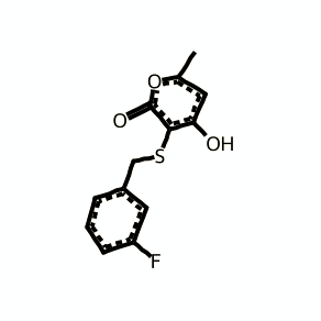 Cc1cc(O)c(SCc2cccc(F)c2)c(=O)o1